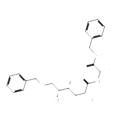 CCC(C)[C@H](NC(=O)[C@@H](C[C@H](O)[C@@H](N)COCc1ccccc1)C(C)C)C(=O)NCc1ccccc1